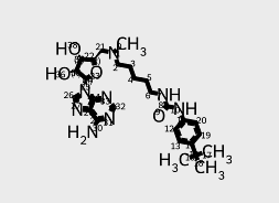 CN(CCCCCNC(=O)Nc1ccc(C(C)(C)C)cc1)C[C@H]1O[C@@H](n2cnc3c(N)ncnc32)[C@H](O)[C@@H]1O